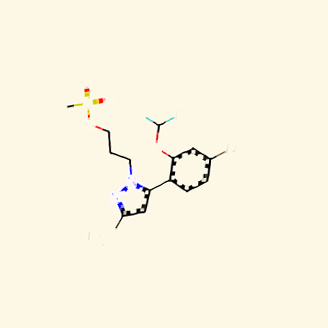 CS(=O)(=O)OCCCn1nc(C(=O)O)cc1-c1ccc(Br)cc1OC(F)F